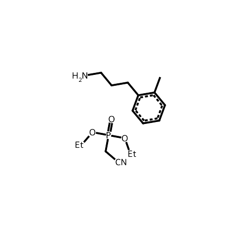 CCOP(=O)(CC#N)OCC.Cc1ccccc1CCCN